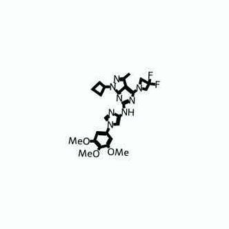 COc1cc(-n2cnc(Nc3nc(N4CC(F)(F)C4)c4c(C)nn(C5CCC5)c4n3)c2)cc(OC)c1OC